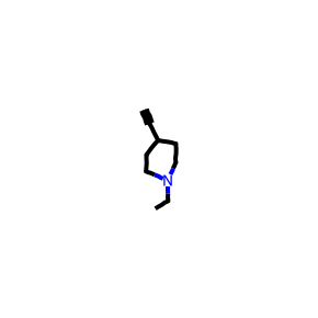 C#CC1CCN(CC)CC1